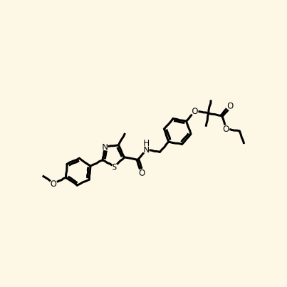 CCOC(=O)C(C)(C)Oc1ccc(CNC(=O)c2sc(-c3ccc(OC)cc3)nc2C)cc1